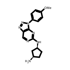 COc1ccc(-n2nnc3cnc(N[C@H]4CC[C@@H](N)C4)nc32)cc1